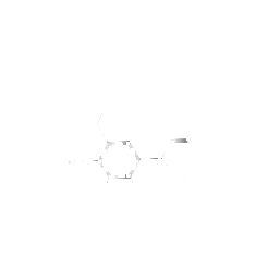 C=C[C](C)c1ccc(F)c(CC)c1